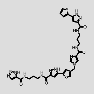 O=C(NCCCNC(=O)c1cc(-c2cccs2)[nH]n1)c1cn(Cc2csc(-c3cc(C(=O)NCCCNC(=O)c4cnn[nH]4)n[nH]3)c2)cn1